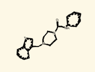 O=C(Nc1ccccc1)N1CCN(Cc2csc3ccccc23)CC1